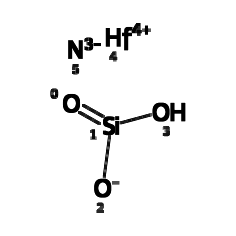 O=[Si]([O-])O.[Hf+4].[N-3]